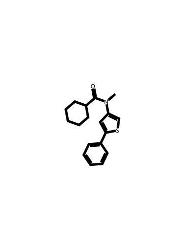 CN(C(=O)C1CCCCC1)c1csc(-c2ccccc2)c1